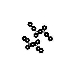 c1ccc(-c2ccc(-n3c4ccccc4c4cc5c(cc43)c3ccccc3n5-c3ccc(-c4ccccc4)cc3)cc2)cc1.c1ccc2cc(-n3c4ccccc4c4cc5c(cc43)c3ccccc3n5-c3ccc4ccccc4c3)ccc2c1